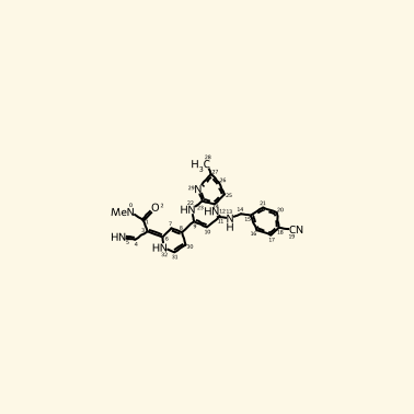 CNC(=O)/C(C=N)=C1C=C(/C(=C/C(=N)NCc2ccc(C#N)cc2)Nc2cccc(C)n2)C=CN\1